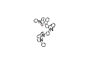 c1ccc(-c2ccc3ccc4ccc(-c5cccc(-c6nc7ccccc7c7c8c(ccc67)C6(c7ccccc7-8)c7ccccc7N(c7ccccc7)c7ccccc76)c5)nc4c3n2)cc1